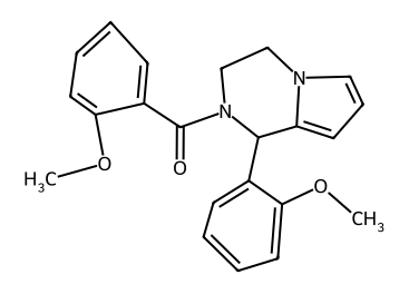 COc1ccccc1C(=O)N1CCn2cccc2C1c1ccccc1OC